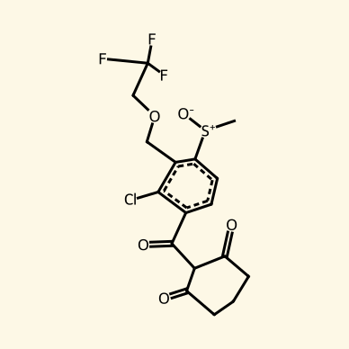 C[S+]([O-])c1ccc(C(=O)C2C(=O)CCCC2=O)c(Cl)c1COCC(F)(F)F